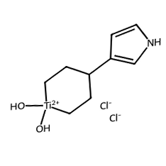 [Cl-].[Cl-].[OH][Ti+2]1([OH])[CH2]CC(c2cc[nH]c2)C[CH2]1